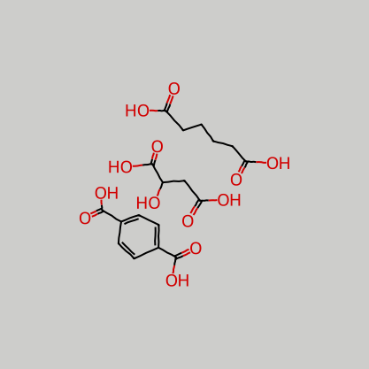 O=C(O)CC(O)C(=O)O.O=C(O)CCCCC(=O)O.O=C(O)c1ccc(C(=O)O)cc1